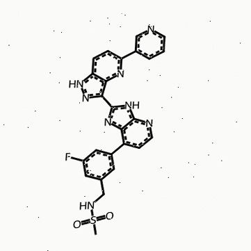 CS(=O)(=O)NCc1cc(F)cc(-c2ccnc3[nH]c(-c4n[nH]c5ccc(-c6cccnc6)nc45)nc23)c1